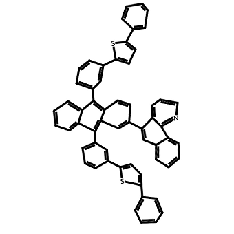 c1ccc(-c2ccc(-c3cccc(-c4c5ccccc5c(-c5cccc(-c6ccc(-c7ccccc7)s6)c5)c5cc(-c6cc7ccccc7c7ncccc67)ccc45)c3)s2)cc1